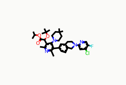 Cc1nc(C)c(C(OC(C)(C)C)C(=O)OC(C)C)c(N2CCC(C)(C)CC2)c1-c1ccc2c(c1)CCN(c1cc(Cl)c(F)cn1)C2